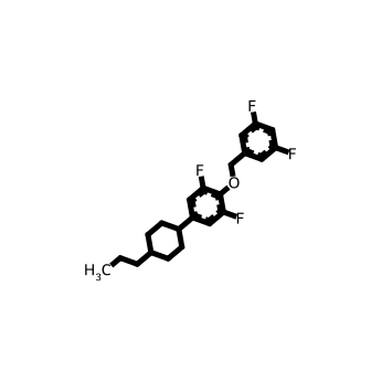 CCCC1CCC(c2cc(F)c(OCc3cc(F)cc(F)c3)c(F)c2)CC1